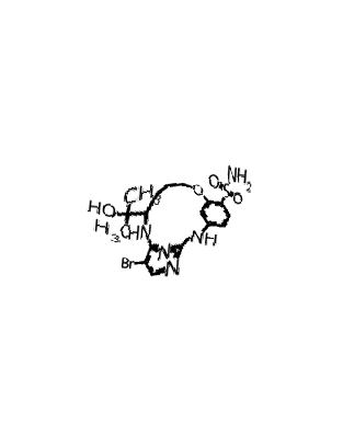 CC(C)(O)C1CCCOc2cc(ccc2S(N)(=O)=O)Nc2ncc(Br)c(n2)N1